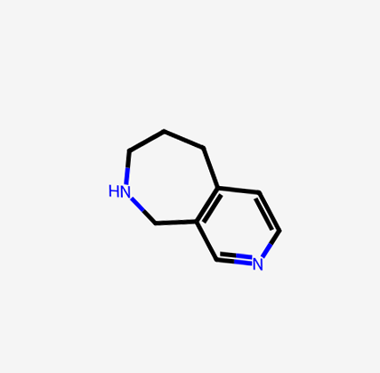 c1cc2c(cn1)CNCCC2